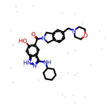 O=C(c1cc2c(NC3CCCCC3)n[nH]c2cc1O)N1Cc2ccc(CN3CCOCC3)cc2C1